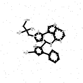 Cc1cc(-c2ccccc2)c(C(C)Nc2ncnc3[nH]cc(-c4ccn(CC(C)(C)CO)n4)c23)[nH]1